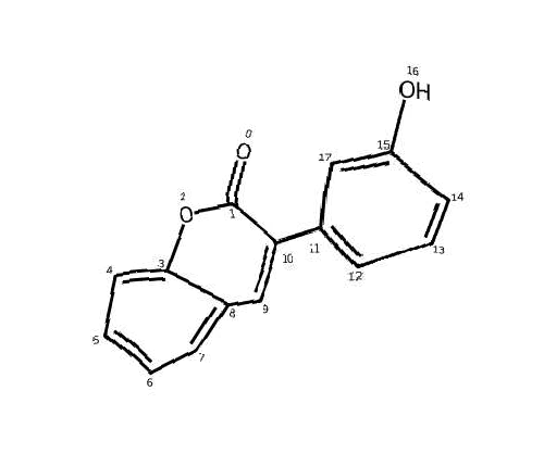 O=c1oc2ccccc2cc1-c1cccc(O)c1